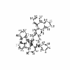 c1ccc(N2c3cc4cc5c6ccccc6c6ccccc6c5cc4cc3B3c4c(cccc42)-c2cccc4c5ccccc5n3c24)cc1